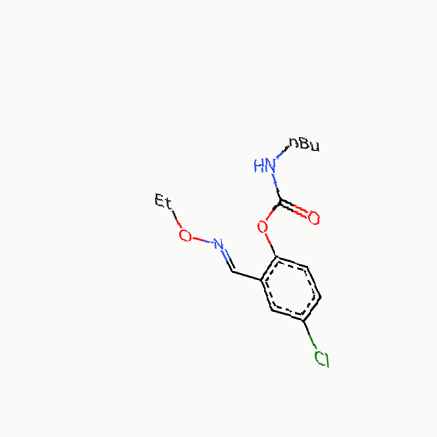 CCCCNC(=O)Oc1ccc(Cl)cc1/C=N/OCC